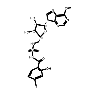 COc1ncnc2c1ncn2[C@@H]1O[C@H](CNS(=O)(=O)NC(=O)c2ccc(F)cc2O)[C@@H](O)[C@H]1O